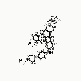 CN1CCN(c2ccc(Nc3ncc4cc(-c5ccc(S(C)(=O)=O)cc5Cl)c(=O)n(Cc5ccccc5C(F)(F)F)c4n3)cc2)CC1